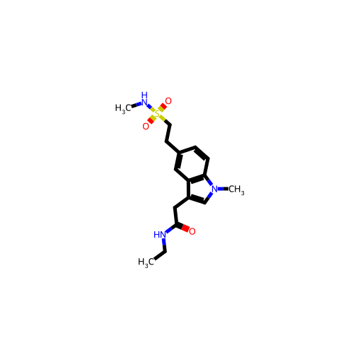 CCNC(=O)Cc1cn(C)c2ccc(CCS(=O)(=O)NC)cc12